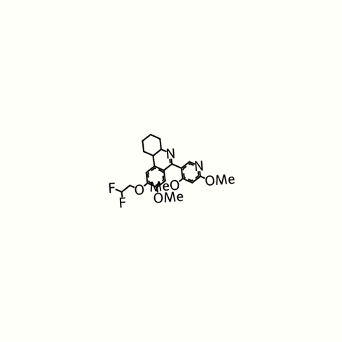 COc1cc(OC)c(C2=NC3CCCCC3c3cc(OCC(F)F)c(OC)cc32)cn1